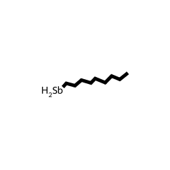 CCCCCCCC[CH2][SbH2]